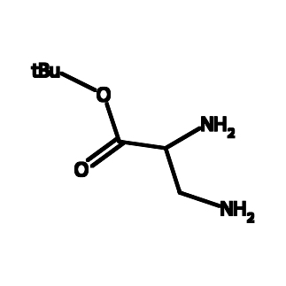 CC(C)(C)OC(=O)C(N)CN